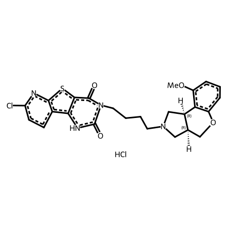 COc1cccc2c1[C@@H]1CN(CCCCn3c(=O)[nH]c4c(sc5nc(Cl)ccc54)c3=O)C[C@@H]1CO2.Cl